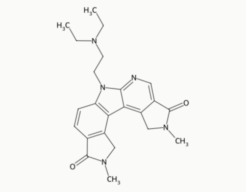 CCN(CC)CCn1c2ccc3c(c2c2c4c(cnc21)C(=O)N(C)C4)CN(C)C3=O